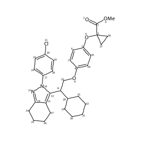 COC(=O)C1(Oc2ccc(OCC(c3c4c(nn3-c3ccc(Cl)cc3)CCCC4)C3CCCCC3)cc2)CC1